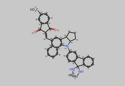 CCCCNC1(NCCCC)c2ccccc2-c2cc(N3c4c(cc(/C=C5\C(=O)c6ccc(C(=O)O)cc6C5=O)c5ccccc45)C4CCCC43)ccc21